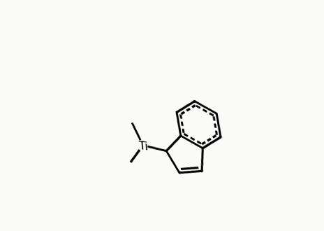 [CH3][Ti]([CH3])[CH]1C=Cc2ccccc21